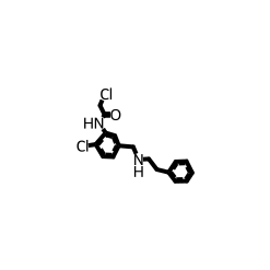 O=C(CCl)Nc1cc(CNCCc2ccccc2)ccc1Cl